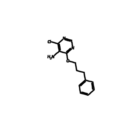 Nc1c(Cl)ncnc1OCCCc1ccccc1